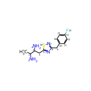 CC(N)C(N)Cc1nc(Cc2ccc(F)cc2)ns1